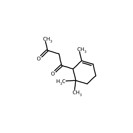 CC(=O)CC(=O)C1C(C)=CCCC1(C)C